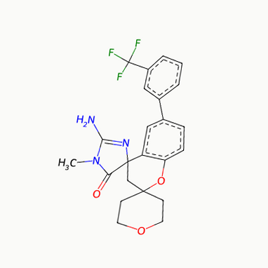 CN1C(=O)C2(CC3(CCOCC3)Oc3ccc(-c4cccc(C(F)(F)F)c4)cc32)N=C1N